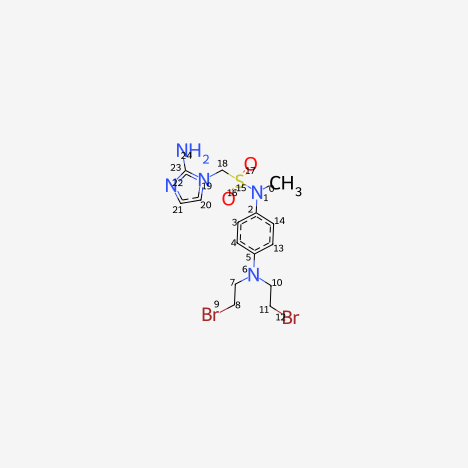 CN(c1ccc(N(CCBr)CCBr)cc1)S(=O)(=O)Cn1ccnc1N